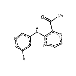 O=C(O)c1nccnc1Nc1cncc(F)c1